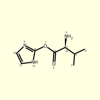 CC(C)[C@H](N)C(=O)Oc1ncc[nH]1